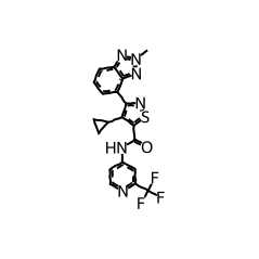 Cn1nc2cccc(-c3nsc(C(=O)Nc4ccnc(C(F)(F)F)c4)c3C3CC3)c2n1